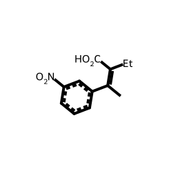 CC/C(C(=O)O)=C(\C)c1cccc([N+](=O)[O-])c1